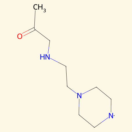 CC(=O)CNCCN1CC[N]CC1